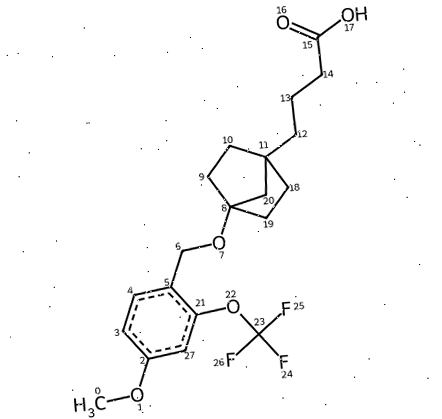 COc1ccc(COC23CCC(CCCC(=O)O)(CC2)C3)c(OC(F)(F)F)c1